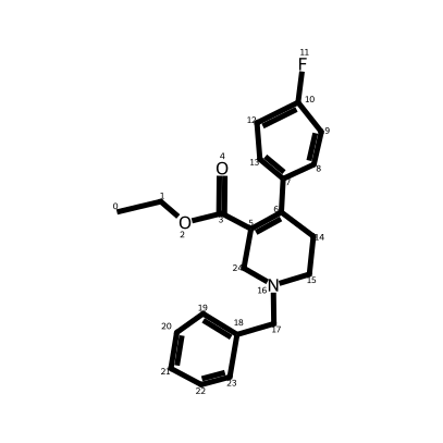 CCOC(=O)C1=C(c2ccc(F)cc2)CCN(Cc2ccccc2)C1